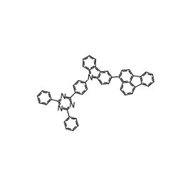 c1ccc(-c2nc(-c3ccccc3)nc(-c3ccc(-n4c5ccccc5c5cc(-c6ccc7c8c(cccc68)-c6ccccc6-7)ccc54)cc3)n2)cc1